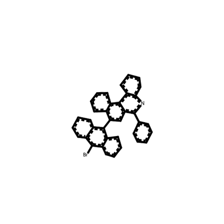 Brc1c2ccccc2c(-c2cc3c(-c4ccccc4)nc4ccccc4c3c3ccccc23)c2ccccc12